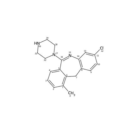 Cc1cccc2c1Cc1ccc(Cl)cc1N=C2N1CCNCC1